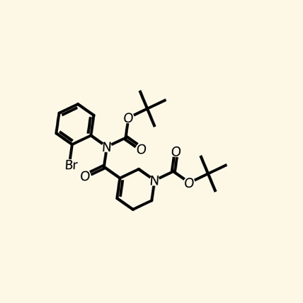 CC(C)(C)OC(=O)N1CCC=C(C(=O)N(C(=O)OC(C)(C)C)c2ccccc2Br)C1